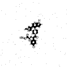 CC(C)N(C[C@@H](C(=O)N1CCN(c2c(-c3cnn(C)c3)cnc3[nH]ccc23)CC1)c1ccc(Cl)cc1)C(=O)OC(C)(C)C